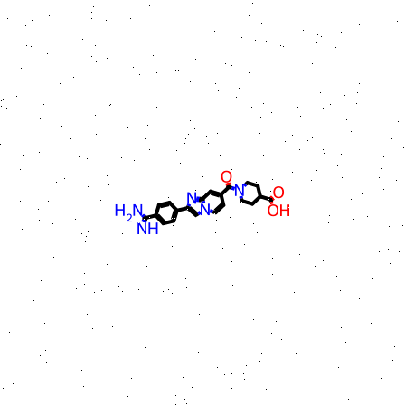 N=C(N)c1ccc(-c2cn3ccc(C(=O)N4CCC(C(=O)O)CC4)cc3n2)cc1